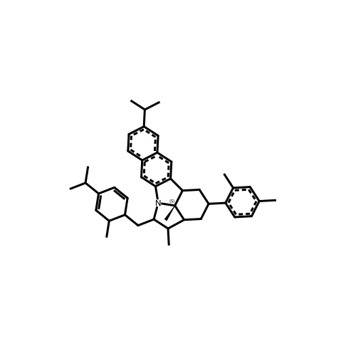 Cc1ccc(C2CC3c4cc5cc(C(C)C)ccc5cc4N4C(CC5C=CC(C(C)C)=CC5C)C(C)C(C2)[C@@]34C)c(C)c1